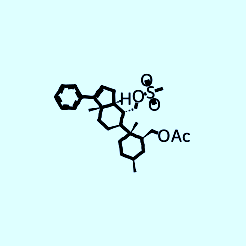 CC(=O)OC[C@H]1C[C@@H](C)CC[C@]1(C)[C@H]1CC[C@]2(C)C(c3ccccc3)=CC[C@H]2[C@@H]1COS(C)(=O)=O